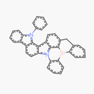 c1ccc(-n2c3ccccc3c3ccc4c(c5ccc6c7c5n4-c4ccccc4B7c4ccccc4C6)c32)cc1